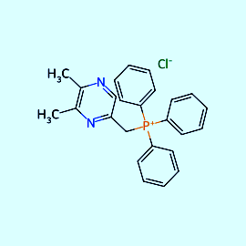 Cc1ncc(C[P+](c2ccccc2)(c2ccccc2)c2ccccc2)nc1C.[Cl-]